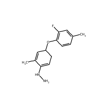 CC1=CC(Oc2ccc(C)cc2F)CC=C1NN